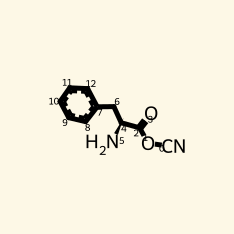 N#COC(=O)[C@@H](N)Cc1ccccc1